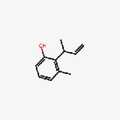 C=CC(C)c1c(C)cccc1O